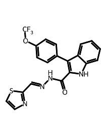 O=C(NN=Cc1nccs1)c1[nH]c2ccccc2c1-c1ccc(OC(F)(F)F)cc1